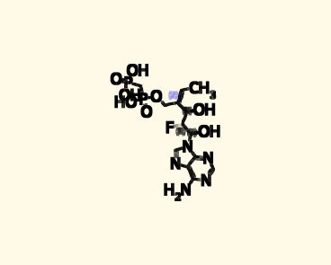 C/C=C(/COP(=O)(O)CP(=O)(O)O)[C@@H](O)[C@@H](F)[C@@H](O)n1cnc2c(N)ncnc21